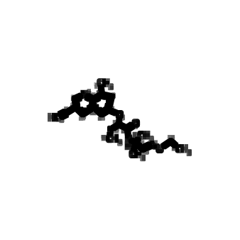 C#Cc1cnc2c(C)cc(OC(SC)C(=O)NC(C)(C)C=NOCC)cc2c1